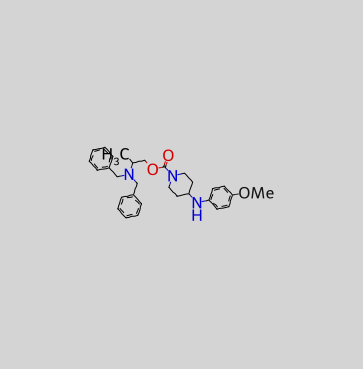 COc1ccc(NC2CCN(C(=O)OCC(C)N(Cc3ccccc3)Cc3ccccc3)CC2)cc1